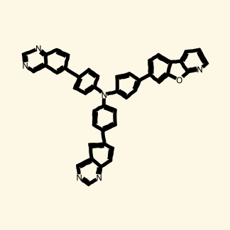 c1cnc2oc3cc(-c4ccc(N(c5ccc(-c6ccc7ncncc7c6)cc5)c5ccc(-c6ccc7ncncc7c6)cc5)cc4)ccc3c2c1